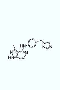 Cc1n[nH]c2ccnc(Nc3ccc(Cn4cncn4)cc3)c12